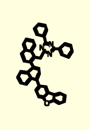 c1ccc(-c2nc(Cc3c(-c4ccc(-c5ccc6oc7ccccc7c6c5)c5ccccc45)ccc4ccccc34)nc(-c3ccccc3)n2)cc1